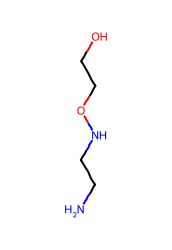 NCCNOCCO